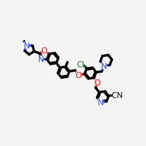 Cc1c(COc2cc(OCc3cncc(C#N)c3)c(CN3CCCCC3)cc2Cl)cccc1-c1ccc2oc(C3CCN(C)C3)nc2c1